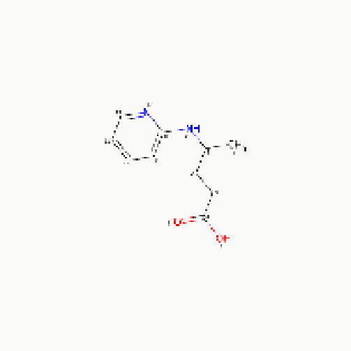 CC(CCC(=O)O)Nc1ccccn1